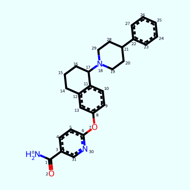 NC(=O)c1ccc(Oc2ccc3c(c2)CCCC3N2CCC(c3ccccc3)CC2)nc1